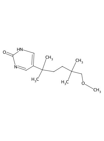 COCC(C)(C)CCC(C)(C)c1cnc(=O)[nH]c1